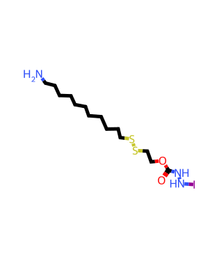 NCCCCCCCCCCCSSCCOC(=O)NNI